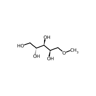 COC[C@@H](O)[C@H](O)[C@H](O)CO